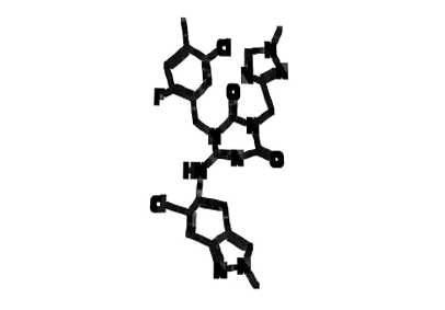 Cc1cc(F)c(Cn2c(Nc3cc4cn(C)nc4cc3Cl)nc(=O)n(Cc3ncn(C)n3)c2=O)cc1Cl